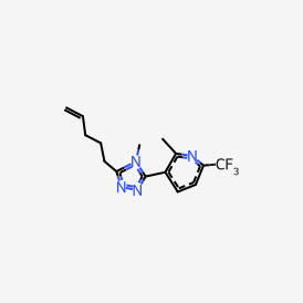 C=CCCCc1nnc(-c2ccc(C(F)(F)F)nc2C)n1C